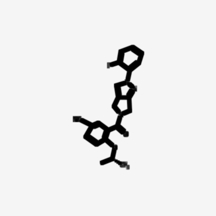 C[C@H](Oc1ccc(C#N)cc1C(=O)N1Cc2cn(-c3ccccc3F)nc2C1)C(F)(F)F